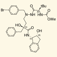 COC(=O)N[C@@H](C(=O)NN(CC[C@@](O)(Cc1ccccc1)C(=O)N[C@H]1c2ccccc2C[C@H]1O)Cc1ccc(Br)cc1)C(C)(C)C